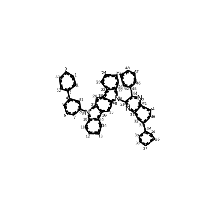 c1ccc(-c2cccc(-n3c4ccccc4c4cc5c(cc43)c3ccccc3n5-c3nc4cc(-c5ccccc5)ccc4nc3-c3ccccc3)c2)cc1